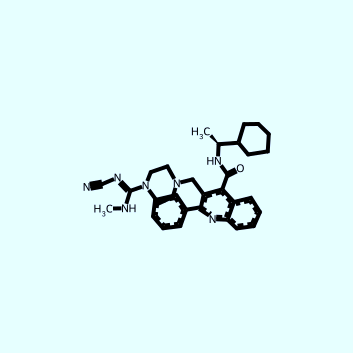 CNC(=NC#N)N1CCN(Cc2c(-c3ccccc3)nc3ccccc3c2C(=O)N[C@@H](C)C2CCCCC2)CC1